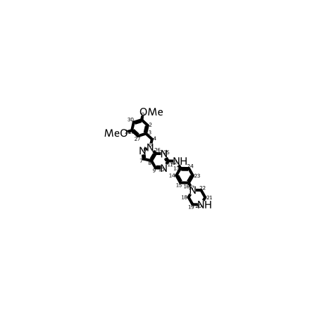 COc1cc(Cn2ncc3cnc(Nc4ccc(N5CCNCC5)cc4)nc32)cc(OC)c1